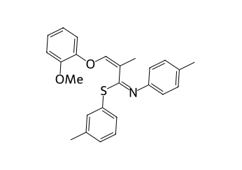 COc1ccccc1OC=C(C)C(=Nc1ccc(C)cc1)Sc1cccc(C)c1